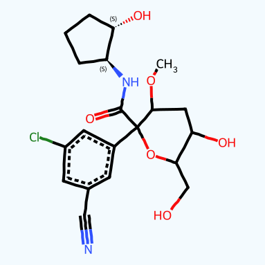 COC1CC(O)C(CO)OC1(C(=O)N[C@H]1CCC[C@@H]1O)c1cc(Cl)cc(C#N)c1